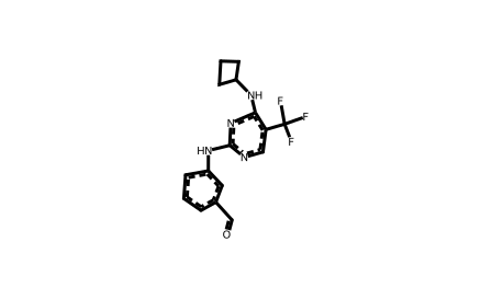 O=Cc1cccc(Nc2ncc(C(F)(F)F)c(NC3CCC3)n2)c1